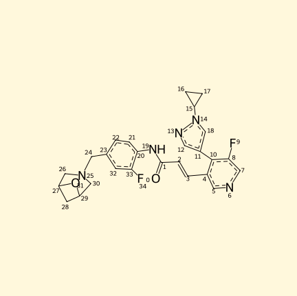 O=C(C=Cc1cncc(F)c1-c1cnn(C2CC2)c1)Nc1ccc(CN2CC3CC(C2)O3)cc1F